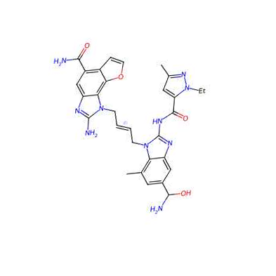 CCn1nc(C)cc1C(=O)Nc1nc2cc(C(N)O)cc(C)c2n1C/C=C/Cn1c(N)nc2cc(C(N)=O)c3ccoc3c21